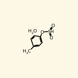 Cc1ccc(O[SH](=O)=O)cc1.O